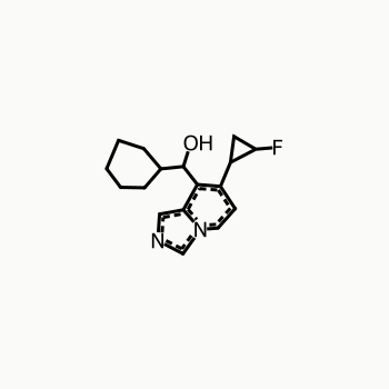 OC(c1c(C2CC2F)ccn2cncc12)C1CCCCC1